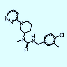 Cc1cc(CNC(=O)N(C)C2CCCN(c3cccnn3)C2)ccc1Cl